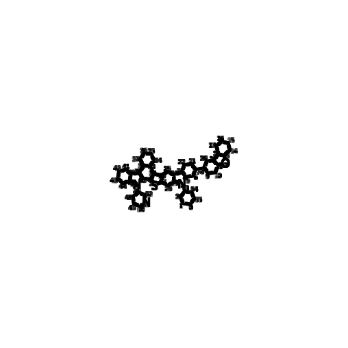 c1ccc(-n2c3cc(-c4ccc5oc6ccccc6c5c4)ccc3c3cc4c(cc32)sc2c4c3ccccc3c3c4ccccc4n(-c4cccnc4)c23)cc1